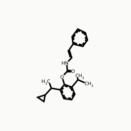 CC(C)c1cccc(C(C)C2CC2)c1OC(=O)NC=Cc1ccccc1